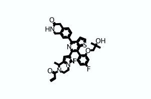 C=CC(=O)N1CCn2nc(-c3nc(-c4ccc5c(c4)CNC(=O)C5)c4ccsc4c3-c3c(F)cc(F)cc3OCC(C)(C)O)cc2C1C